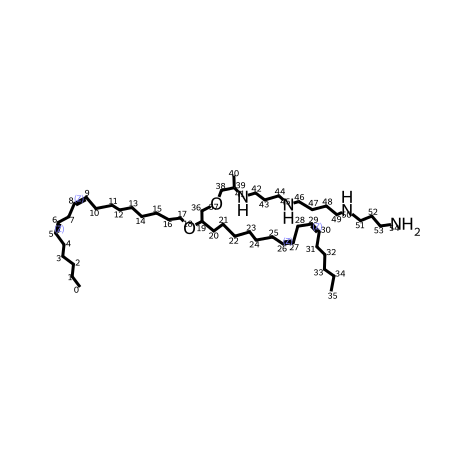 CCCCC/C=C\C/C=C\CCCCCCCCOC(CCCCCC/C=C\C/C=C\CCCCC)COCC(C)NCCCNCCCCNCCCN